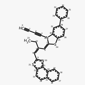 C#CC#CN1C(=CC(=Cc2nc3c(ccc4ccccc43)s2)CC)Sc2ccc(-c3ccccc3)cc21